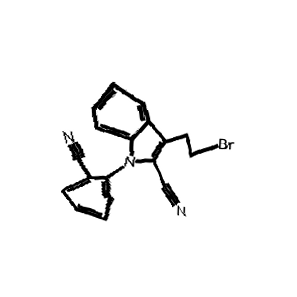 N#Cc1ccccc1-n1c(C#N)c(CCBr)c2ccccc21